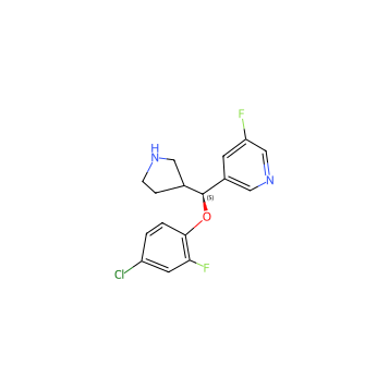 Fc1cncc([C@@H](Oc2ccc(Cl)cc2F)C2CCNC2)c1